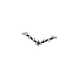 OCCOCCOCCO[Te](I)(I)OCCOCCOCCO